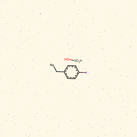 O=S(=O)(O)O.[Na][CH2]c1ccc(I)cc1